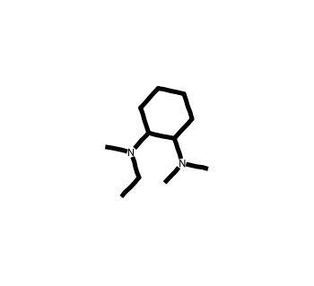 CCN(C)C1CCCCC1N(C)C